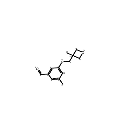 Cc1cc(C=O)cc(OCC2(C)COC2)c1